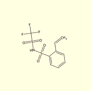 C=Cc1ccccc1S(=O)(=O)NS(=O)(=O)C(F)(F)F